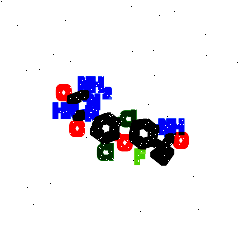 Nc1nn(-c2cc(Cl)c(Oc3ccc4c(c3F)C3(CCC3)C(=O)N4)c(Cl)c2)c(=O)[nH]c1=O